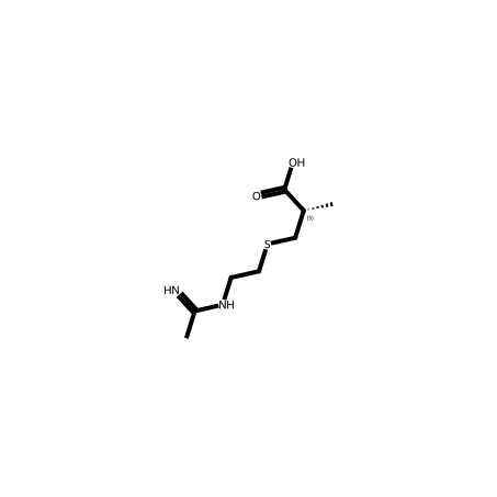 CC(=N)NCCSC[C@@H](C)C(=O)O